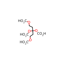 O=C(O)OCCC(CCOC(=O)O)(OC(=O)O)OC(=O)O